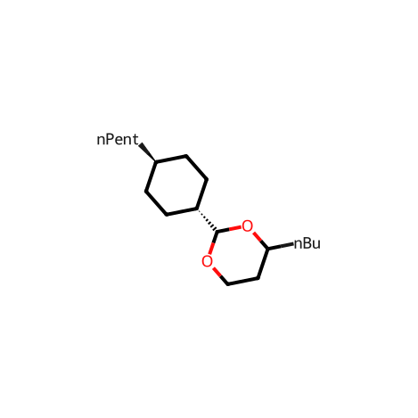 CCCCC[C@H]1CC[C@H](C2OCCC(CCCC)O2)CC1